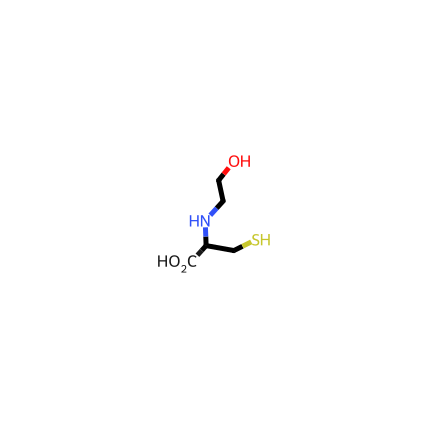 O=C(O)C(CS)NCCO